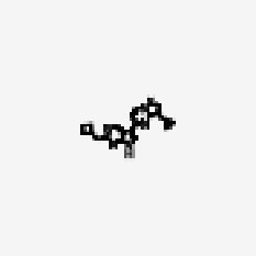 c1cn2ncc(C3CC3)c2nc1-c1c[nH]c2nc(CC3CCC3)ncc12